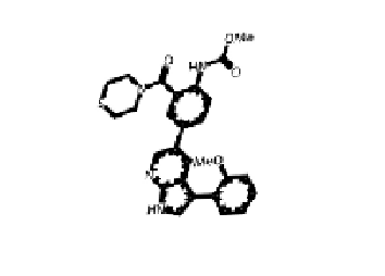 COC(=O)Nc1ccc(-c2cnc3[nH]cc(-c4ccccc4OC)c3c2)cc1C(=O)N1CCSCC1